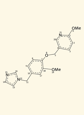 COc1ccc(COc2ccc(Cn3ccnc3)cc2OC)cn1